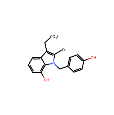 CC(C)c1c(CC(=O)O)c2cccc(O)c2n1Cc1ccc(O)cc1